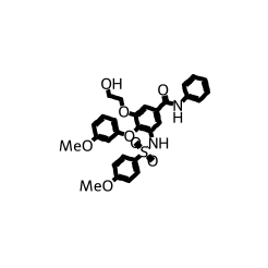 COc1ccc(S(=O)(=O)Nc2cc(C(=O)Nc3ccccc3)cc(OCCO)c2Oc2cccc(OC)c2)cc1